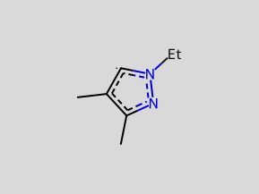 CCn1[c]c(C)c(C)n1